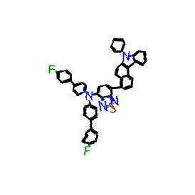 Fc1ccc(-c2ccc(N(c3ccc(-c4ccc(F)cc4)cc3)c3ccc(-c4cccc5c4ccc4c5c5ccccc5n4-c4ccccc4)c4nsnc34)cc2)cc1